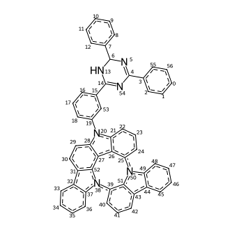 c1ccc(C2=NC(c3ccccc3)NC(c3cccc(-n4c5cccc6c5c5c4ccc4c7ccccc7n(c7cccc8c9ccccc9n6c87)c45)c3)=N2)cc1